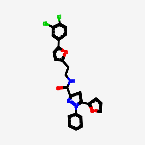 O=C(NCCc1ccc(-c2ccc(Cl)c(Cl)c2)o1)c1cc(-c2ccco2)n(-c2ccccc2)n1